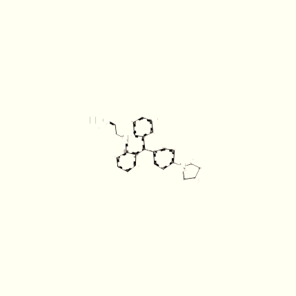 C=CC[n+]1c2ccccc2c(-c2ccc(N3CCCC3)cc2)c2ccccc21.[Cl-]